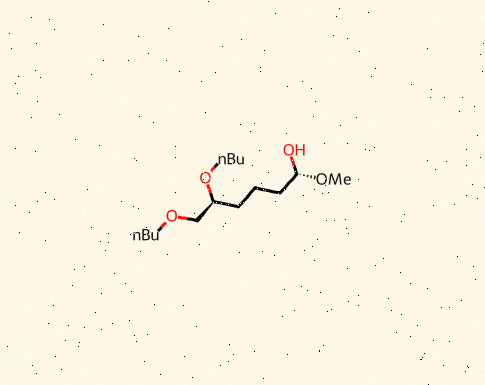 CCCCOC[C@H](CCC[C@H](O)OC)OCCCC